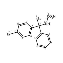 CC(C)(C)C(NC(=O)O)(c1ccccc1)c1ccc(Br)cc1